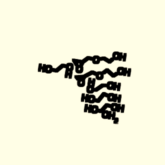 O.OCCO.OCCO.OCCO.OCCO.OCCOCC1CO1.OCCOCC1CO1